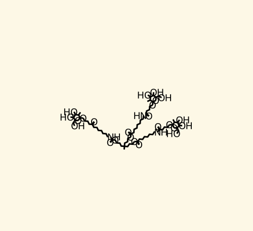 CC1C(OCCCC(=O)CCCCCCCNC(=O)OCCCC(C)(CCCOC(=O)CCCCCCCNC(=O)CCCOC2OC(CO)C(O)C(O)C2C)CCCOC(=O)CCCCCCCNC(=O)CCCOC2OC(CO)C(O)C(O)C2C)OC(CO)C(O)C1O